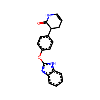 O=C1NC=CCC1c1ccc(Oc2nc3ccccc3[nH]2)cc1